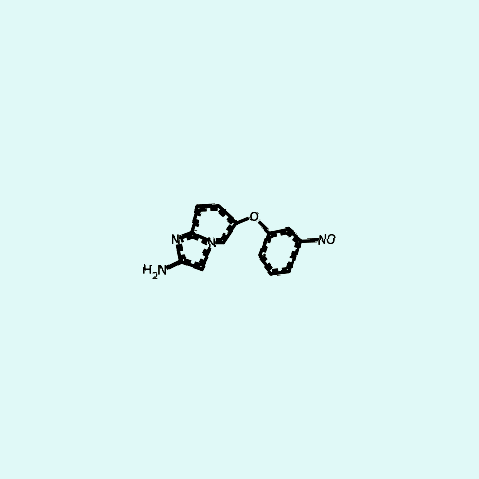 Nc1cn2cc(Oc3cccc(N=O)c3)ccc2n1